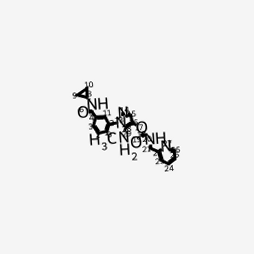 Cc1ccc(C(=O)NC2CC2)cc1-n1ncc(OC(=O)NCc2ccccn2)c1N